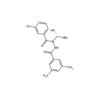 CCC[C@@H](N(NC(=O)c1cc(C)cc(C)c1)C(=O)c1cccc(Cl)c1)C(C)(C)C